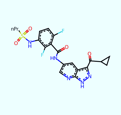 CCCS(=O)(=O)Nc1ccc(F)c(C(=O)Nc2cnc3[nH]nc(C(=O)C4CC4)c3c2)c1F